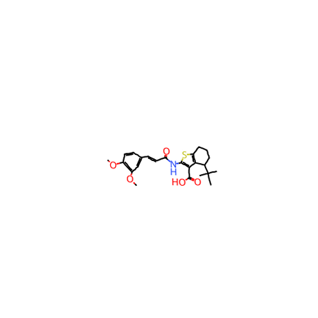 COc1ccc(C=CC(=O)Nc2sc3c(c2C(=O)O)C(C(C)(C)C)CCC3)cc1OC